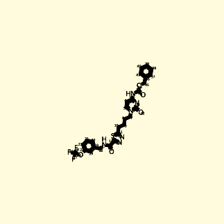 O=C(Nc1ccn(CCCCc2nnc(C(=O)NCc3cccc(OC(F)(F)F)c3)s2)c(=O)n1)OCc1ccccc1